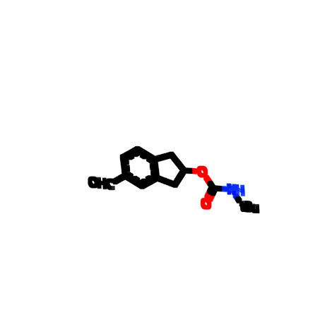 CC(C)(C)NC(=O)OC1Cc2ccc(C=O)cc2C1